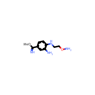 COC(=N)c1ccc(NCCON)c(N)c1